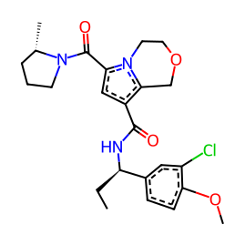 CC[C@@H](NC(=O)c1cc(C(=O)N2CCC[C@@H]2C)n2c1COCC2)c1ccc(OC)c(Cl)c1